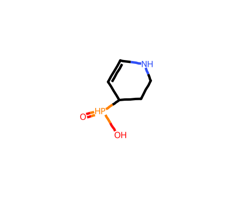 O=[PH](O)C1C=CNCC1